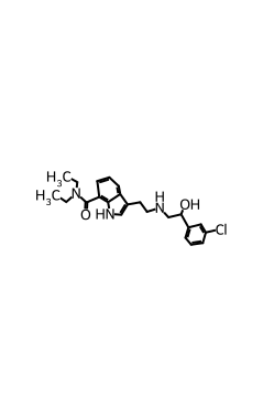 CCN(CC)C(=O)c1cccc2c(CCNCC(O)c3cccc(Cl)c3)c[nH]c12